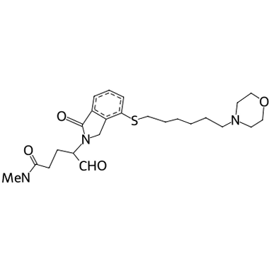 CNC(=O)CCC(C=O)N1Cc2c(SCCCCCCN3CCOCC3)cccc2C1=O